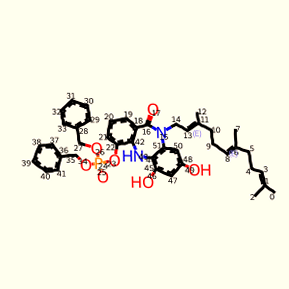 CC(C)=CCC/C(C)=C/CC/C(C)=C/CN1C(=O)c2cccc(OP(=O)(OCc3ccccc3)OCc3ccccc3)c2Nc2c(O)cc(O)cc21